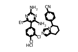 CCc1nc(N)nc(N)c1-c1ccc(Cl)c(Cl)c1.Cl.N#Cc1ccc(C2CCCc3cncn32)cc1